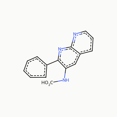 O=C(O)Nc1cc2cccnc2nc1-c1ccccc1